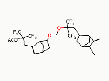 CC(=O)OC(CC1CC2CC(OCOC(CC3CC4CC3C(C)C4C)(C(F)(F)F)C(F)(F)F)C1C2)(C(F)(F)F)C(F)(F)F